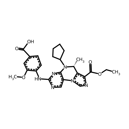 CCOC(=O)c1ncn2c1[C@@H](C)N(C1CCCC1)c1nc(Nc3ccc(C(=O)O)cc3OC)ncc1-2